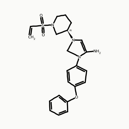 C=CS(=O)(=O)N1CCC[C@@H](N2C=C(N)N(c3ccc(Oc4ccccc4)cc3)C2)C1